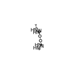 C1=C(C2CC2)CNC1c1ncc(-c2ccc(-c3ccc(-c4cnc(C5CCCN5)[nH]4)cc3)cc2)[nH]1